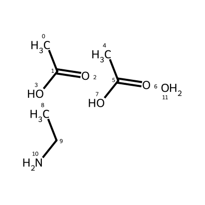 CC(=O)O.CC(=O)O.CCN.O